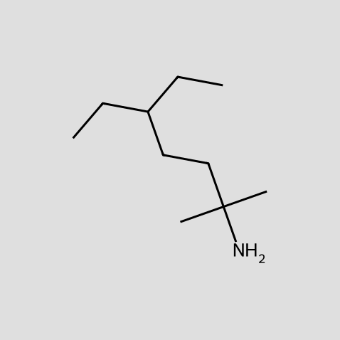 CCC(CC)CCC(C)(C)N